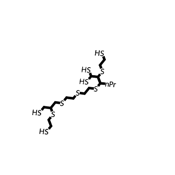 CCCC(SCCSCCSCC(CS)SCCS)C(SCCS)C(S)S